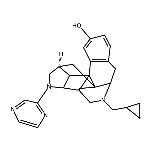 Oc1ccc2c(c1)C13CCN(CC4CC4)C(C2)C12CCC1C3[C@@H](CN1c1cnccn1)C2